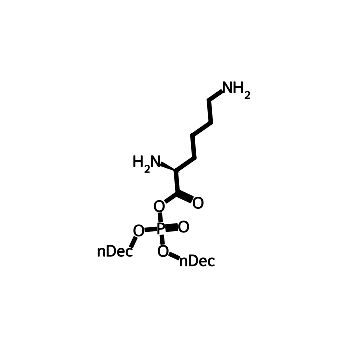 CCCCCCCCCCOP(=O)(OCCCCCCCCCC)OC(=O)[C@@H](N)CCCCN